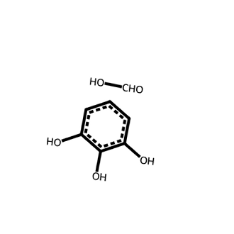 O=CO.Oc1cccc(O)c1O